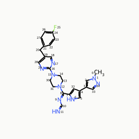 Cn1cc(-c2c[nH]c(/C(=N\C=N)N3CCN(c4ncc(Cc5ccc(F)cc5)cn4)CC3)c2)cn1